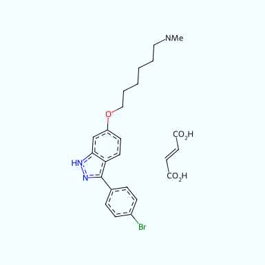 CNCCCCCCOc1ccc2c(-c3ccc(Br)cc3)n[nH]c2c1.O=C(O)/C=C/C(=O)O